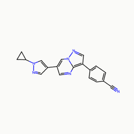 N#Cc1ccc(-c2cnn3cc(-c4cnn(C5CC5)c4)cnc23)cc1